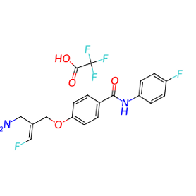 NCC(=CF)COc1ccc(C(=O)Nc2ccc(F)cc2)cc1.O=C(O)C(F)(F)F